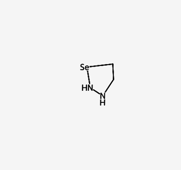 C1C[Se]NN1